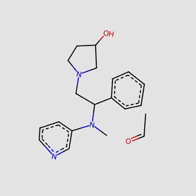 CC=O.CN(c1cccnc1)C(CN1CCC(O)C1)c1ccccc1